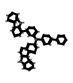 c1ccc(-c2ccc(N(c3cccc(-c4cccc5c4oc4ccccc45)c3)c3ccc4c(ccc5oc6ccccc6c54)c3)cc2)cc1